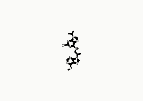 COc1ncnc2c1ncn2C(C)CNc1nc(Cl)nc2c1ncn2C(C)C